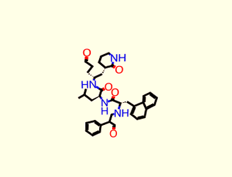 CC(C)C[C@H](NC(=O)[C@H](Cc1cccc2ccccc12)NCC(C=O)c1ccccc1)C(=O)N[C@H](CCC=O)C[C@@H]1CCCNC1=O